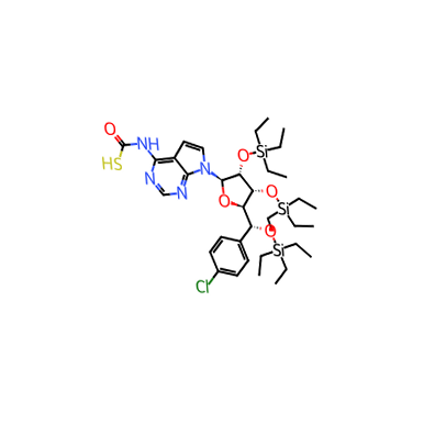 CC[Si](CC)(CC)O[C@H]1[C@@H](O[Si](CC)(CC)CC)[C@H](n2ccc3c(NC(=O)S)ncnc32)O[C@@H]1[C@H](O[Si](CC)(CC)CC)c1ccc(Cl)cc1